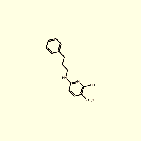 O=C(O)c1cnc(NCCCc2ccccc2)nc1O